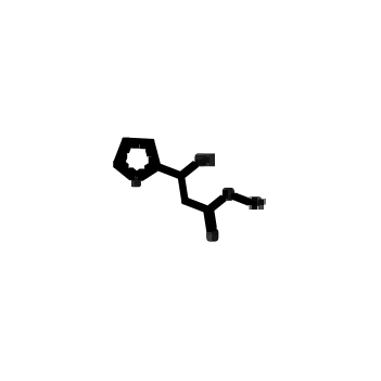 CC(C)OC(=O)CC(O)c1cccs1